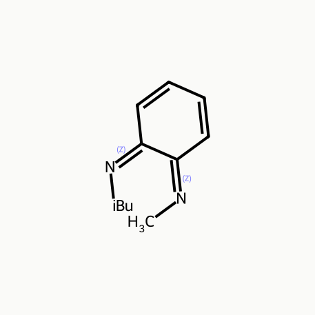 CCC(C)/N=C1/C=CC=C/C1=N/C